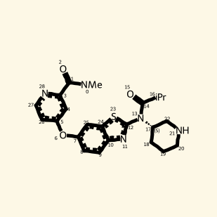 CNC(=O)c1cc(Oc2ccc3nc(N(C(=O)C(C)C)[C@H]4CCCNC4)sc3c2)ccn1